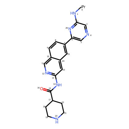 CC(C)Nc1cncc(-c2ccc3cnc(NC(=O)C4CCNCC4)cc3c2)n1